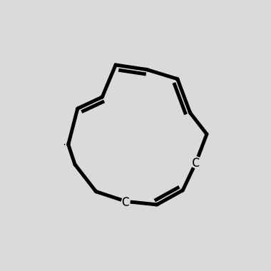 [CH]1/C=C/C=C\C=C\CC/C=C\CCC1